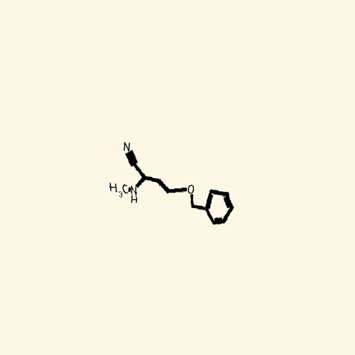 CNC(C#N)CCOCc1ccccc1